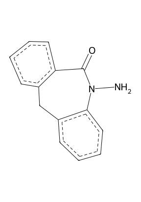 NN1C(=O)c2ccccc2Cc2ccccc21